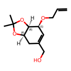 C=CCO[C@H]1C=C(CO)C[C@H]2OC(C)(C)O[C@@H]12